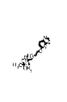 CC(C)(C)OC(=O)CNCCOc1ccc2n[c]sc2n1